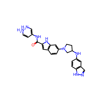 N/C=C\C(=C/N)NC(=O)c1cc2ccc(N3CCC(Nc4ccc5[nH]ncc5c4)C3)cc2[nH]1